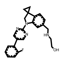 OCCNCc1ccc2c(c1)N(c1ncc(-c3ccccc3F)cn1)CC21CC1